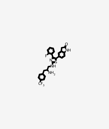 NC(CNc1nc(-c2ccccc2F)c(-c2ccc3c(c2)CC(=O)N3)s1)Cc1ccc(C(F)(F)F)cc1